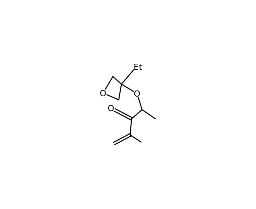 C=C(C)C(=O)C(C)OC1(CC)COC1